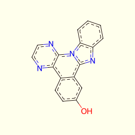 Oc1ccc2c(c1)c1nc3ccccc3n1c1nccnc21